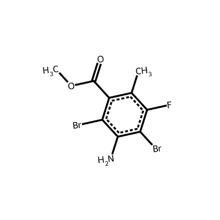 COC(=O)c1c(C)c(F)c(Br)c(N)c1Br